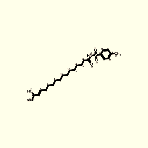 CCCCC(O)C=CCCCCCCCCCCCCC(=O)NS(=O)(=O)c1ccc(C)cc1